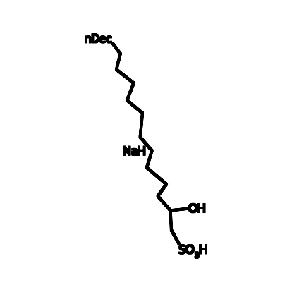 CCCCCCCCCCCCCCCCCCCCC(O)CS(=O)(=O)O.[NaH]